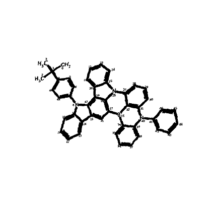 CC(C)(C)c1ccc(-n2c3ccccc3c3cc4c5c(c6ccccc6n5-c5cccc6c5B4c4ccccc4N6c4ccccc4)c32)cc1